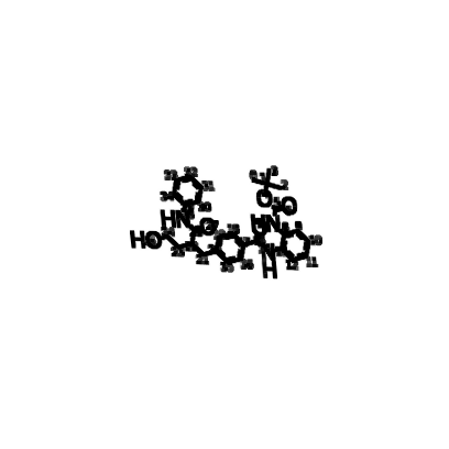 CC(C)(C)OC(=O)Nc1ccccc1NC(=O)c1ccc(CC(CCO)C(=O)Nc2ccccc2)cc1